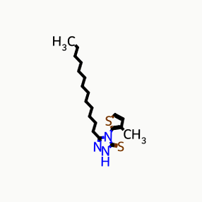 CCCCCCCCCCCCCc1n[nH]c(=S)n1-c1sccc1C